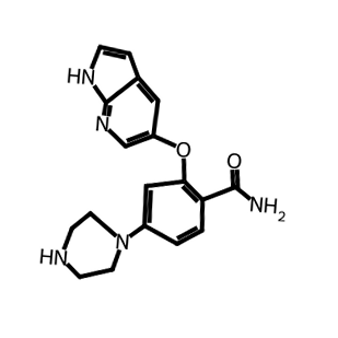 NC(=O)c1ccc(N2CCNCC2)cc1Oc1cnc2[nH]ccc2c1